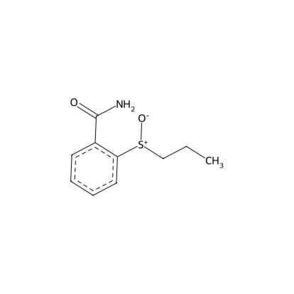 CCC[S+]([O-])c1ccccc1C(N)=O